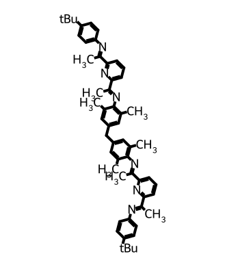 C/C(=N\c1ccc(C(C)(C)C)cc1)c1cccc(/C(C)=N/c2c(C)cc(Cc3cc(C)c(/N=C(\C)c4cccc(/C(C)=N/c5ccc(C(C)(C)C)cc5)n4)c(C)c3)cc2C)n1